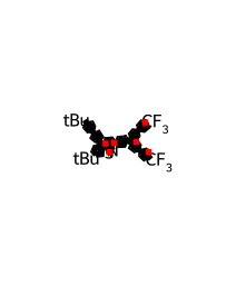 CC(C)(C)c1ccc(-c2ccc(N(c3ccc(C(C)(C)C)cc3)c3ccc(-c4ccc(-n5c6ccc(-c7ccc(C(F)(F)F)cc7)cc6c6cc(-c7ccc(C(F)(F)F)cc7)ccc65)cc4)c4nsnc34)cc2)cc1